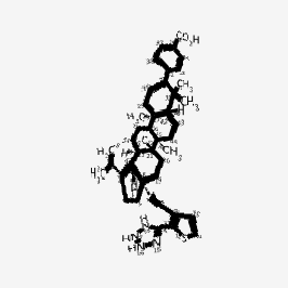 C=C(C)[C@@H]1CC[C@]2(C#Cc3ccsc3C3=NNNN3)CC[C@]3(C)[C@H](CCC4[C@@]5(C)CC=C(c6ccc(C(=O)O)cc6)C(C)(C)[C@@H]5CC[C@]43C)[C@@H]12